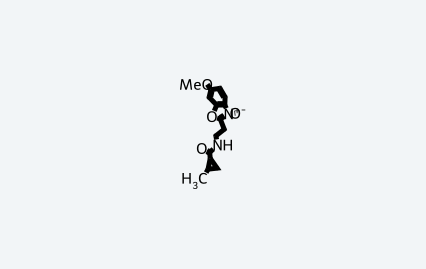 COc1ccc2c(c1)oc(CCNC(=O)C1CC1C)[n+]2[O-]